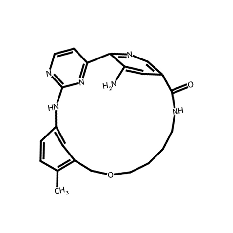 Cc1ccc2cc1COCCCCNC(=O)c1cnc(c(N)c1)-c1ccnc(n1)N2